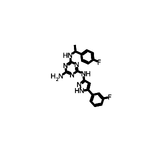 CC(Nc1nc(N)nc(Nc2cc(-c3cccc(F)c3)[nH]n2)n1)c1ccc(F)cc1